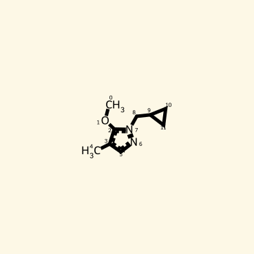 COc1c(C)[c]nn1CC1CC1